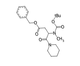 CN(C(=O)OC(C)(C)C)C(CC(=O)OCc1ccccc1)C(=O)N1CCCCC1